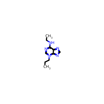 CCCn1cnc(NCC)c2ncnc1-2